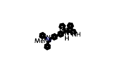 CNC(/C=C(\N=C\c1ccccc1)c1ccc(-c2ccc(C3Nc4c5c(c6ccccc6c4N3C3=CC=CCN3)C=CNC5)cc2)cc1)c1ccccc1